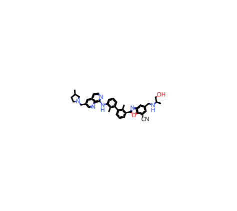 Cc1c(Nc2nccc3cc(CN4CCC(C)C4)cnc23)cccc1-c1cccc(-c2nc3cc(CNC(C)CO)cc(C#N)c3o2)c1C